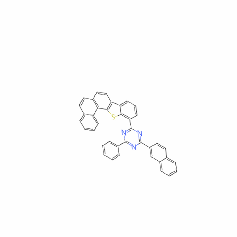 c1ccc(-c2nc(-c3ccc4ccccc4c3)nc(-c3cccc4c3sc3c4ccc4ccc5ccccc5c43)n2)cc1